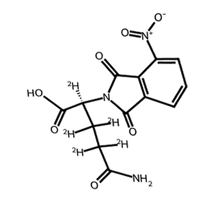 [2H]C([2H])(C(N)=O)C([2H])([2H])[C@@]([2H])(C(=O)O)N1C(=O)c2cccc([N+](=O)[O-])c2C1=O